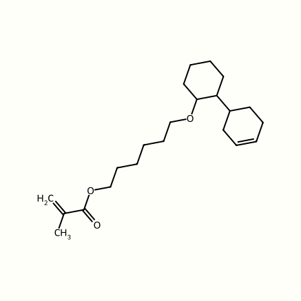 C=C(C)C(=O)OCCCCCCOC1CCCCC1C1CC=CCC1